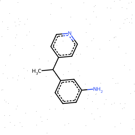 CC(c1ccncc1)c1cccc(N)c1